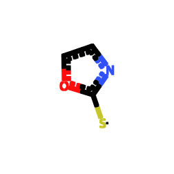 [S]c1ncco1